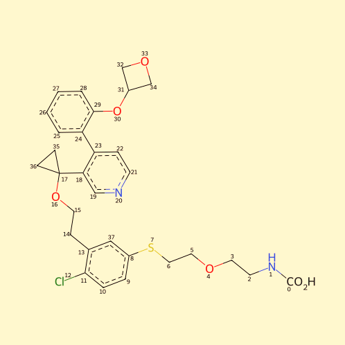 O=C(O)NCCOCCSc1ccc(Cl)c(CCOC2(c3cnccc3-c3ccccc3OC3COC3)CC2)c1